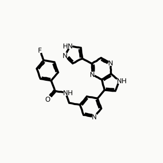 O=C(NCc1cncc(-c2c[nH]c3ncc(-c4cn[nH]c4)nc23)c1)c1ccc(F)cc1